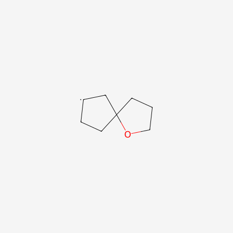 [CH]1CCC2(C1)CCCO2